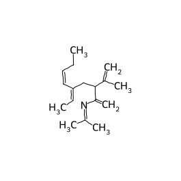 C=C(C)C(CC(/C=C\CC)=C/C)C(=C)N=C(C)C